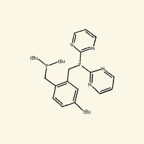 CC(C)(C)c1ccc(CP(C(C)(C)C)C(C)(C)C)c(CP(c2ncccn2)c2ncccn2)c1